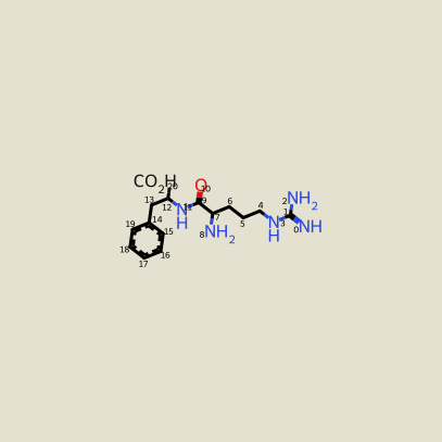 N=C(N)NCCCC(N)C(=O)NC(Cc1ccccc1)C(=O)O